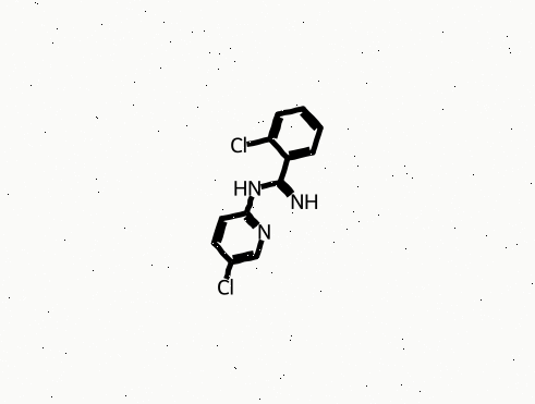 N=C(Nc1ccc(Cl)cn1)c1ccccc1Cl